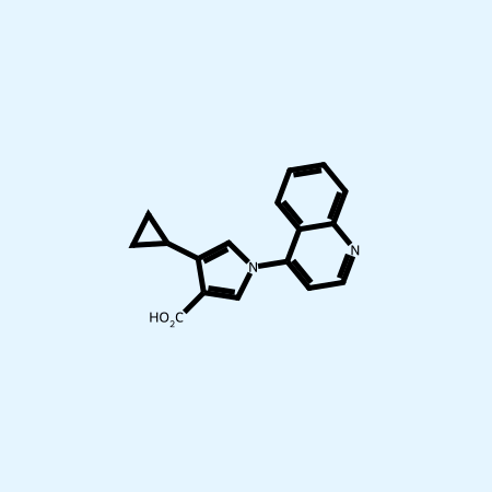 O=C(O)c1cn(-c2ccnc3ccccc23)cc1C1CC1